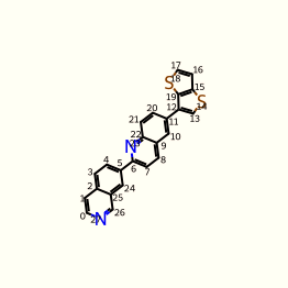 c1cc2ccc(-c3ccc4cc(-c5csc6ccsc56)ccc4n3)cc2cn1